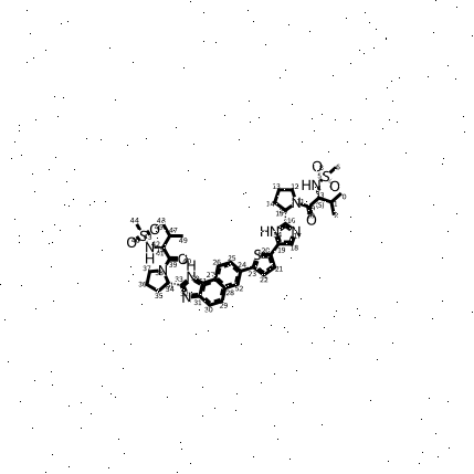 CC(C)[C@H](NS(C)(=O)=O)C(=O)N1CCC[C@H]1c1ncc(-c2ccc(-c3ccc4c(ccc5nc([C@@H]6CCCN6C(=O)[C@@H](NS(C)(=O)=O)C(C)C)[nH]c54)c3)s2)[nH]1